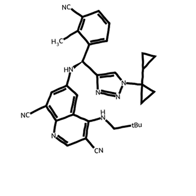 Cc1c(C#N)cccc1[C@H](Nc1cc(C#N)c2ncc(C#N)c(NCC(C)(C)C)c2c1)c1cn(C2(C3CC3)CC2)nn1